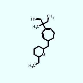 CCC1CCCC(CC2C=CC(C(C)(C=N)CC)=CCC2)O1